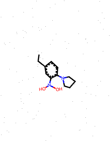 CCc1ccc(N2CCCC2)c(N(O)O)c1